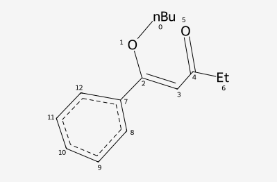 CCCCOC(=CC(=O)CC)c1ccccc1